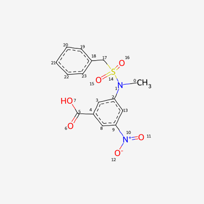 CN(c1cc(C(=O)O)cc([N+](=O)[O-])c1)S(=O)(=O)Cc1ccccc1